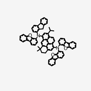 CC(C)c1cc(N(c2cccc3c2Cc2ccccc2-3)c2cccc3c2oc2ccccc23)c2cc3c4c(cc(N(c5cccc6c5oc5ccccc56)c5cccc6c5oc5ccccc56)c5ccc1c2c54)CCC3(C)C